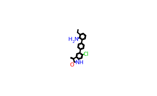 C=C1C(=O)Nc2cc(Cl)c(-c3ccc(-c4cccc(CC)c4N)cc3)cc21